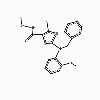 COc1ccccc1N(Cc1ccccc1)c1nc(C(=O)NSC)c(C)s1